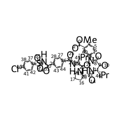 COC(=O)c1ccc2oc(C(=O)C(NC(=O)[C@@H]3CCCN3C(=O)[C@@H](NC(=O)c3ccc(C(=O)NS(=O)(=O)c4ccc(Cl)cc4)cc3)C(C)C)C(C)C)nc2c1